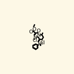 CCOC(=O)C1=CN(Cl)C2C(=C[N+](C)(Cl)c3ccccc3)CCC(C)N2C1=O